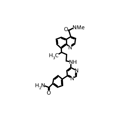 CNC(=O)c1ccnc2c(C(C)CCNc3cc(-c4ccc(C(N)=O)cc4)ncn3)cccc12